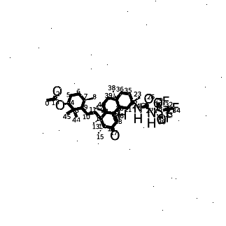 CC(=O)O[C@H]1CC[C@@H](C)C(CC[C@]2(C)[C@@H](C)C(=O)C=C3[C@@H]4C[C@@](C)(NC(=O)NS(=O)(=O)C(F)(F)F)CC[C@]4(C)CC[C@]32C)C1(C)C